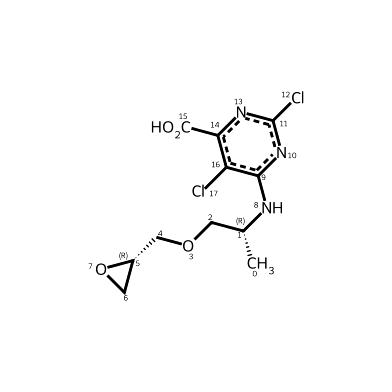 C[C@H](COC[C@@H]1CO1)Nc1nc(Cl)nc(C(=O)O)c1Cl